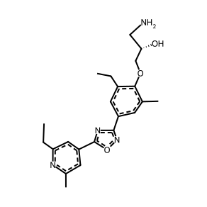 CCc1cc(-c2nc(-c3cc(C)c(OC[C@@H](O)CN)c(CC)c3)no2)cc(C)n1